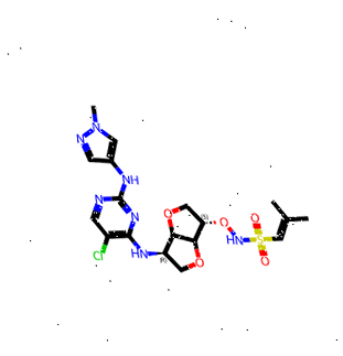 CC(C)=CS(=O)(=O)NO[C@H]1COC2C1OC[C@H]2Nc1nc(Nc2cnn(C)c2)ncc1Cl